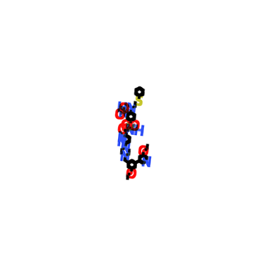 CCOc1cncc(-c2cc(CN3CCN(c4ccc(C(=O)NS(=O)(=O)c5ccc(NCCSc6ccccc6)c([N+](=O)[O-])c5)nn4)CC3)cc(OCC)c2)c1